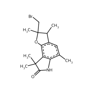 Cc1cc2c(c3c1NC(=O)C3(C)C)OC(C)(CBr)C2C